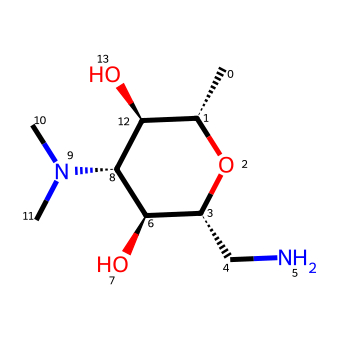 C[C@@H]1O[C@H](CN)[C@@H](O)[C@H](N(C)C)[C@H]1O